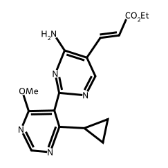 CCOC(=O)/C=C/c1cnc(-c2c(OC)ncnc2C2CC2)nc1N